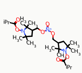 CC(C)C(=O)ON1C(C)(C)CC(CO[N+](=O)OCC2CC(C)(C)N(OC(=O)C(C)C)C2(C)C)C1(C)C